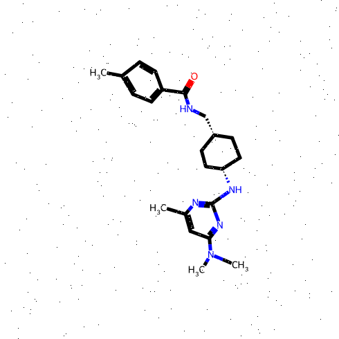 Cc1ccc(C(=O)NC[C@H]2CC[C@@H](Nc3nc(C)cc(N(C)C)n3)CC2)cc1